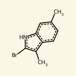 Cc1ccc2c(C)c(Br)[nH]c2c1